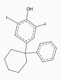 Oc1c(I)cc(C2(c3ccccc3)CCCCC2)cc1I